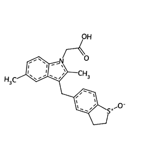 Cc1ccc2c(c1)c(Cc1ccc3c(c1)CC[S+]3[O-])c(C)n2CC(=O)O